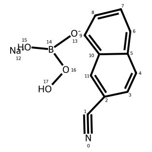 N#Cc1ccc2ccccc2c1.[Na+].[O-]B(O)OO